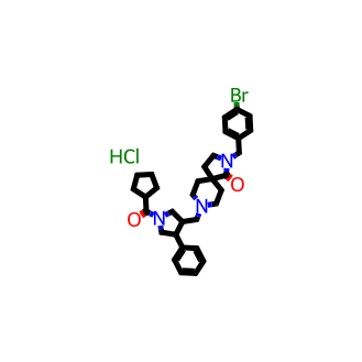 Cl.O=C(C1CCCC1)N1CC(CN2CCC3(CC2)CCN(Cc2ccc(Br)cc2)C3=O)C(c2ccccc2)C1